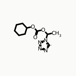 CC(OC(=O)OC1CCCCC1)n1[c]nnn1